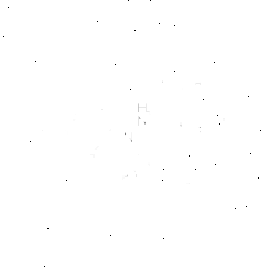 Cc1ccc(-n2[nH]c(-c3ccccc3C)c(CC(C)C)c2=O)cc1